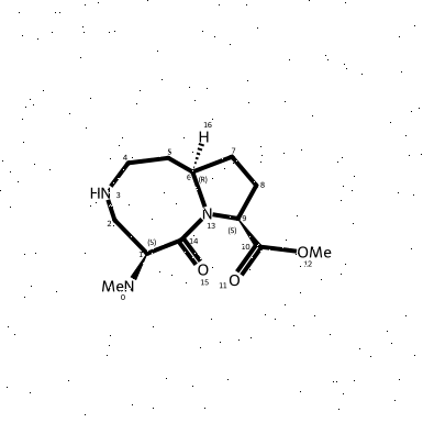 CN[C@H]1CNCC[C@H]2CC[C@@H](C(=O)OC)N2C1=O